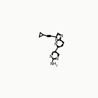 Nc1ncc(-c2ccc3ncc(C#CC4CC4)n3n2)cn1